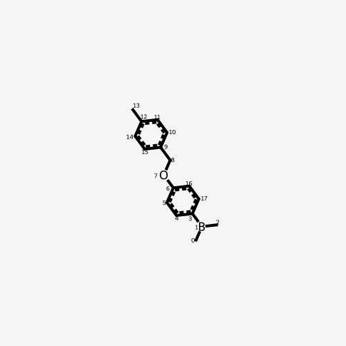 CB(C)c1ccc(OCc2ccc(C)cc2)cc1